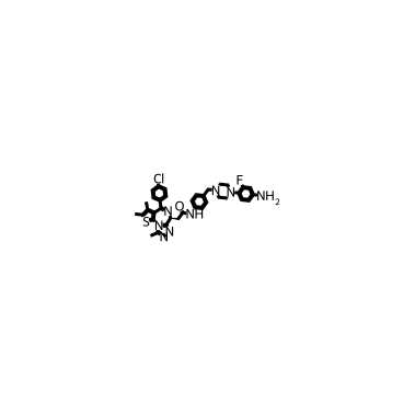 Cc1sc2c(c1C)C(c1ccc(Cl)cc1)=N[C@@H](CC(=O)Nc1ccc(CN3CCN(c4ccc(N)cc4F)CC3)cc1)c1nnc(C)n1-2